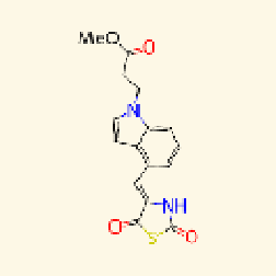 COC(=O)CCn1ccc2c(C=C3NC(=O)SC3=O)cccc21